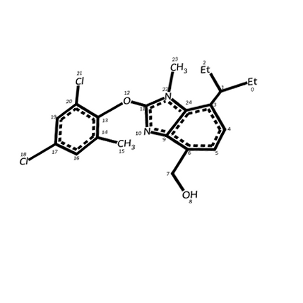 CCC(CC)c1ccc(CO)c2nc(Oc3c(C)cc(Cl)cc3Cl)n(C)c12